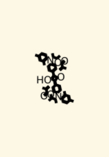 C=C(C)C(=O)OC(C)C(C)N(c1ccc(C2=C(O)C(=C3C=CC(=[N+](c4ccc(C)cc4C)C(C)C(C)OC(=O)C(=C)C)C=C3)C2=O)cc1)c1ccc(C)cc1C